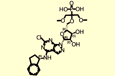 COCC(COC)(OC[C@H]1O[C@@H](n2ncc3c(N[C@@H]4CCc5ccccc54)nc(Cl)nc32)[C@H](O)[C@@H]1O)P(=O)(O)O